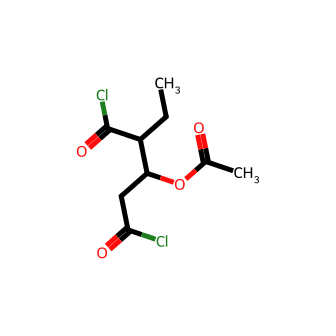 CCC(C(=O)Cl)C(CC(=O)Cl)OC(C)=O